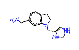 NCc1ccc2c(c1)N(CC1=CNCN1)CC2